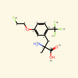 CC(N)(Cc1cc(OCCF)ccc1C(F)(F)F)C(=O)O